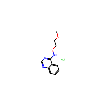 COCCONc1ncnc2ccccc12.Cl